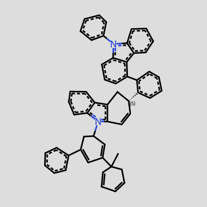 CC1(C2=CC(n3c4c(c5ccccc53)C[C@H](c3ccccc3-c3cccc5c3c3ccccc3n5-c3ccccc3)C=C4)CC(c3ccccc3)=C2)C=CC=CC1